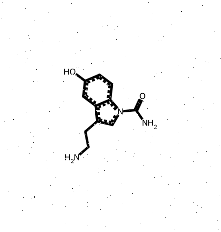 NCCc1cn(C(N)=O)c2ccc(O)cc12